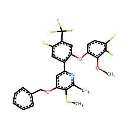 COc1c(Oc2cc(C(F)(F)F)c(F)cc2-c2cc(OCc3ccccc3)c(SC)c(C)n2)ccc(F)c1F